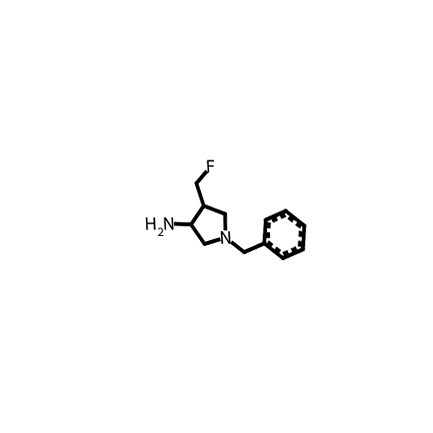 NC1CN(Cc2ccccc2)CC1CF